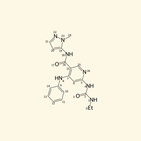 CCNC(=O)Nc1cc(Nc2ccccc2)c(C(=O)Nc2ccnn2C)cn1